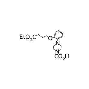 CCOC(=O)CCCOc1ccccc1N1CCN(C(=O)O)CC1